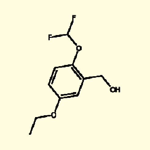 CCOc1ccc(OC(F)F)c(CO)c1